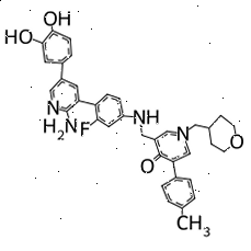 Cc1ccc(-c2cn(CC3CCOCC3)cc(CNc3ccc(-c4cc(-c5ccc(O)c(O)c5)cnc4N)c(F)c3)c2=O)cc1